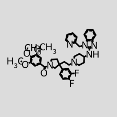 COc1cc(C(=O)N2CCC(CCN3CCC(Nc4nc5ccccc5n4Cc4ccccn4)CC3)(c3ccc(F)c(F)c3)C2)cc(OC)c1OC